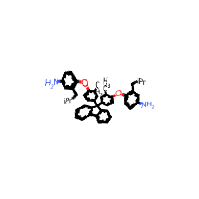 Cc1cc(C2(c3ccc(Oc4ccc(N)cc4CC(C)C)c(C)c3)c3ccccc3-c3ccccc32)ccc1Oc1ccc(N)cc1CC(C)C